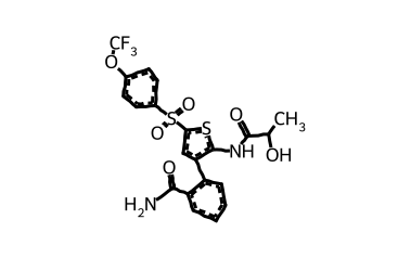 CC(O)C(=O)Nc1sc(S(=O)(=O)c2ccc(OC(F)(F)F)cc2)cc1-c1ccccc1C(N)=O